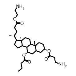 CCCC(=O)O[C@@H]1CC2C[C@H](OC(=O)CCN)CCC2(C)C2CC[C@@]3(C)C(CCC3[C@H](C)CCC(=O)OCCN)C21